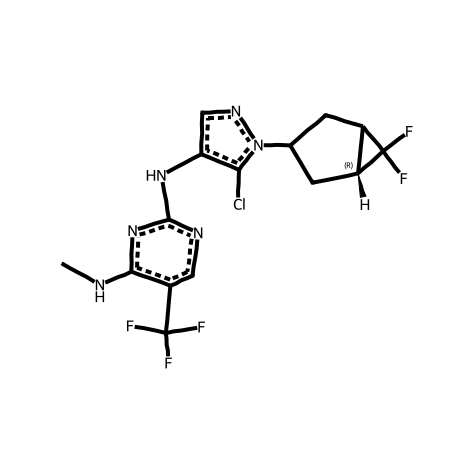 CNc1nc(Nc2cnn(C3CC4[C@@H](C3)C4(F)F)c2Cl)ncc1C(F)(F)F